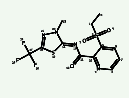 CCS(=O)(=O)c1cccnc1C(=O)/N=c1\sc(C(F)(F)F)nn1C